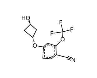 N#Cc1ccc(O[C@H]2C[C@H](O)C2)cc1OC(F)(F)F